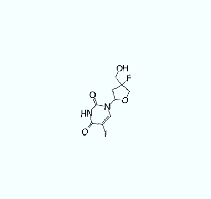 O=c1[nH]c(=O)n(C2CC(F)(CO)CO2)cc1I